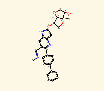 C/N=C/c1cc2[nH]c(O[C@@H]3CO[C@H]4[C@@H]3OC[C@H]4O)cc2nc1-c1ccc(-c2ccccc2)cc1